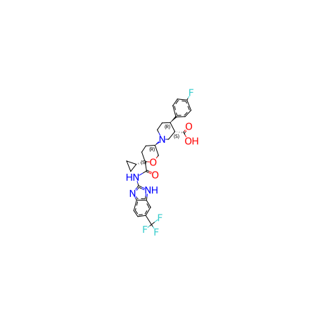 O=C(O)[C@@H]1CN([C@@H]2CC[C@@](C(=O)Nc3nc4ccc(C(F)(F)F)cc4[nH]3)(C3CC3)OC2)CC[C@H]1c1ccc(F)cc1